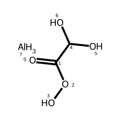 O=C(OO)C(O)O.[AlH3]